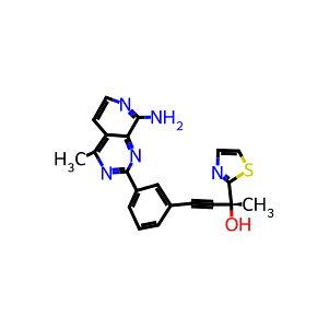 Cc1nc(-c2cccc(C#C[C@@](C)(O)c3nccs3)c2)nc2c(N)nccc12